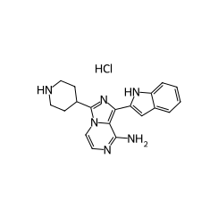 Cl.Nc1nccn2c(C3CCNCC3)nc(-c3cc4ccccc4[nH]3)c12